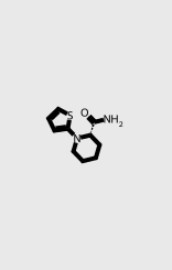 NC(=O)[C@@H]1CCCCN1c1cccs1